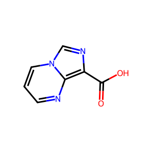 O=C(O)c1ncn2cccnc12